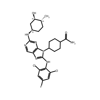 C[C@@H]1CC[C@@H](Nc2ncc3nc(Nc4c(Cl)cc(F)cc4Cl)n(C4CCC(C(N)=O)CC4)c3n2)C[C@H]1O